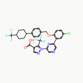 O=C(O)c1cnn(-c2cncc(-c3cc(Cl)ccc3OCc3ccc(C4CCC(C(F)(F)F)CC4)cc3)n2)c1C(F)(F)F